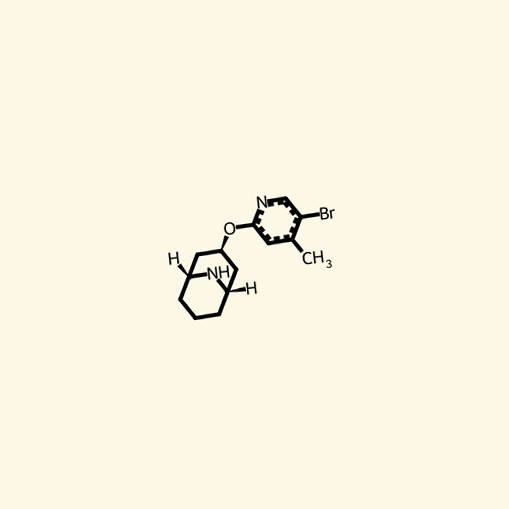 Cc1cc(O[C@@H]2C[C@H]3CCC[C@@H](C2)N3)ncc1Br